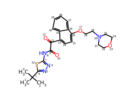 CC(C)(C)c1nnc(NC(=O)C(=O)c2ccc(OCCN3CCOCC3)c3ccccc23)s1